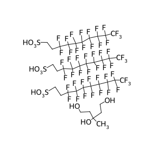 CC(O)(CCO)CCO.O=S(=O)(O)CCC(F)(F)C(F)(F)C(F)(F)C(F)(F)C(F)(F)C(F)(F)C(F)(F)C(F)(F)F.O=S(=O)(O)CCC(F)(F)C(F)(F)C(F)(F)C(F)(F)C(F)(F)C(F)(F)C(F)(F)C(F)(F)F.O=S(=O)(O)CCC(F)(F)C(F)(F)C(F)(F)C(F)(F)C(F)(F)C(F)(F)C(F)(F)C(F)(F)F